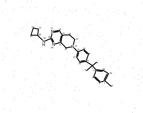 Cc1ccc(C(C)(C)c2ccc(N3CCc4cnc(NC5CCC5)nc4C3)cc2)cc1